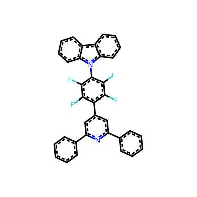 Fc1c(F)c(-n2c3ccccc3c3ccccc32)c(F)c(F)c1-c1cc(-c2ccccc2)nc(-c2ccccc2)c1